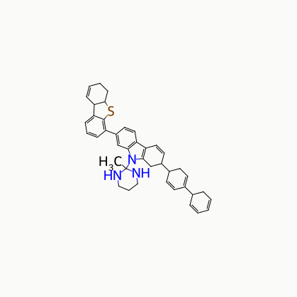 CC1(n2c3c(c4ccc(-c5cccc6c5SC5CCC=CC65)cc42)C=CC(C2C=CC(C4C=CC=CC4)=CC2)C3)NCCCN1